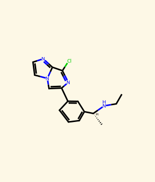 CCN[C@H](C)c1cccc(-c2cn3ccnc3c(Cl)n2)c1